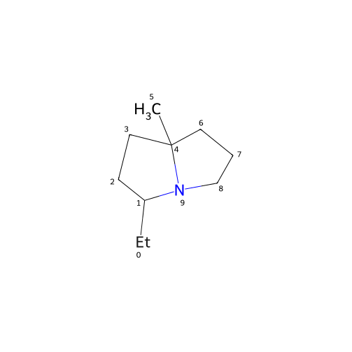 CCC1CCC2(C)CCCN12